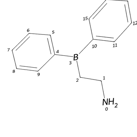 NCCB(c1ccccc1)c1ccccc1